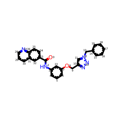 O=C(Nc1cccc(OCc2cn(Cc3ccccc3)nn2)c1)c1ccc2ncccc2c1